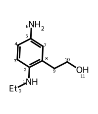 CCNc1ccc(N)cc1CCO